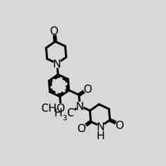 CN(C(=O)c1cc(N2CCC(=O)CC2)ccc1C=O)C1CCC(=O)NC1=O